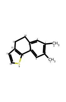 Cc1cc2c(cc1C)-c1sccc1CC2